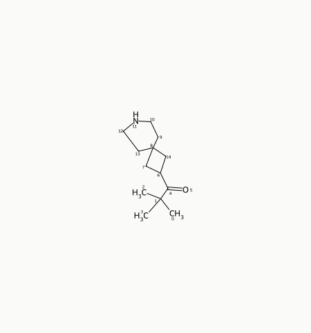 CC(C)(C)C(=O)C1CC2(CCNCC2)C1